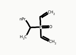 C=CP(=O)(C=C)C(C)CCC